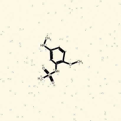 CNc1ccc(OC)c(NS(C)(=O)=O)c1